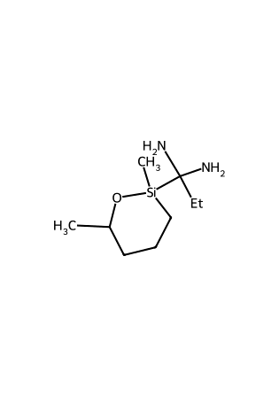 CCC(N)(N)[Si]1(C)CCCC(C)O1